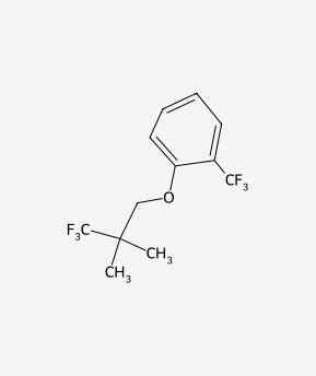 CC(C)(COc1ccccc1C(F)(F)F)C(F)(F)F